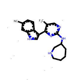 N#Cc1ccc2c(-c3nc(NC4CCCCNC4)ncc3C(F)(F)F)c[nH]c2c1